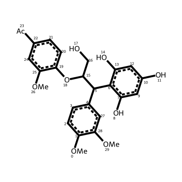 COc1ccc(C(c2c(O)cc(O)cc2O)C(CO)Oc2ccc(C(C)=O)cc2OC)cc1OC